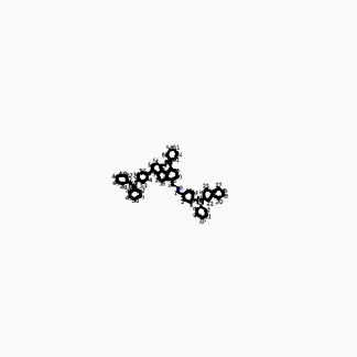 C(=C\c1ccc(N(c2ccccc2)c2ccc3ccccc3c2)cc1)/Cc1ccc2c3c1ccc1c(-c4ccc(N(c5ccccc5)c5ccccc5)cc4)ccc(c13)n2-c1ccccc1